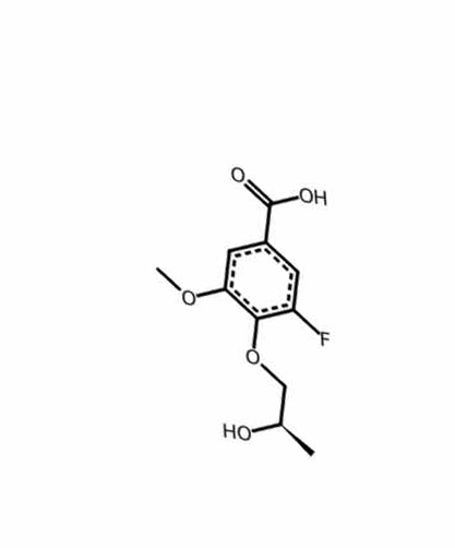 COc1cc(C(=O)O)cc(F)c1OC[C@@H](C)O